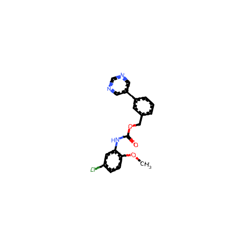 COc1ccc(Cl)cc1NC(=O)OCc1cccc(-c2cncnc2)c1